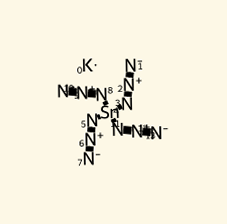 [K].[N-]=[N+]=[N][Sn]([N]=[N+]=[N-])([N]=[N+]=[N-])[N]=[N+]=[N-]